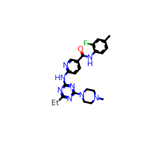 CCc1nc(Nc2ccc(C(=O)Nc3ccc(C)cc3F)cn2)nc(N2CCN(C)CC2)n1